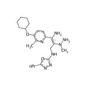 CCCc1nnc(NC/C(=C(/N)c2ccc(OC3CCCCC3)c(C)n2)N(C)N)o1